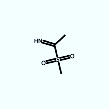 CC(=N)S(C)(=O)=O